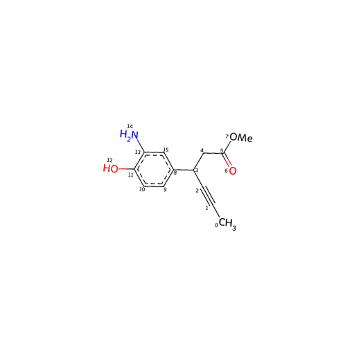 CC#CC(CC(=O)OC)c1ccc(O)c(N)c1